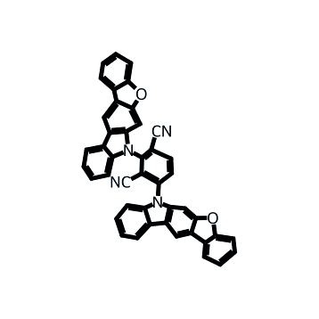 N#Cc1ccc(-n2c3ccccc3c3cc4c(cc32)oc2ccccc24)c(C#N)c1-n1c2ccccc2c2cc3c(cc21)oc1ccccc13